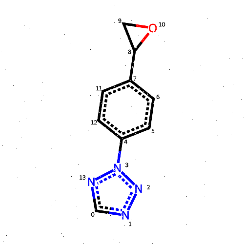 c1nnn(-c2ccc(C3CO3)cc2)n1